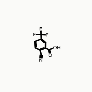 N#Cc1ccc(C(F)(F)F)cc1C(=O)O